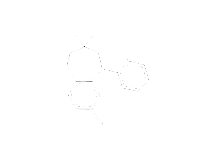 CC1(C)COc2ccc(Br)cc2C(c2ccccn2)C1